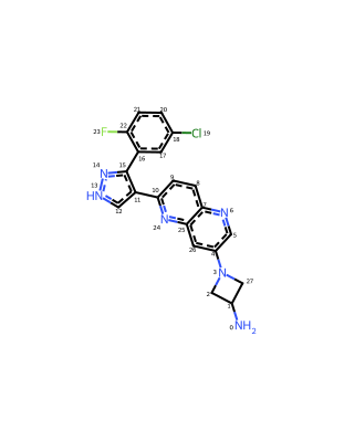 NC1CN(c2cnc3ccc(-c4c[nH]nc4-c4cc(Cl)ccc4F)nc3c2)C1